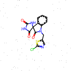 O=C1NC(=O)C2(N1)C(=O)N(Cc1cnc(Cl)s1)c1ccccc12